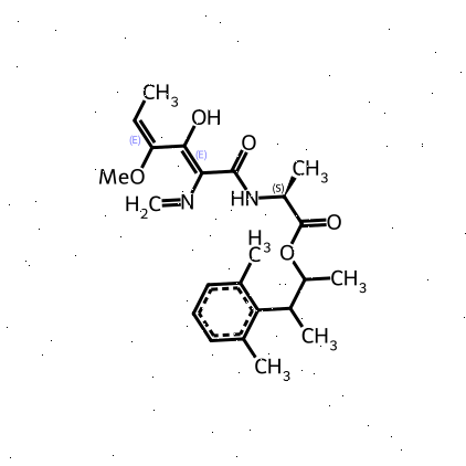 C=N/C(C(=O)N[C@@H](C)C(=O)OC(C)C(C)c1c(C)cccc1C)=C(O)\C(=C/C)OC